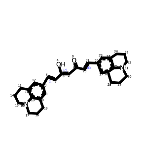 O=C(/C=C(O)/C=C/c1cc2c3c(c1)CCCN3CCC2)/C=C/c1cc2c3c(c1)CCCN3CCC2